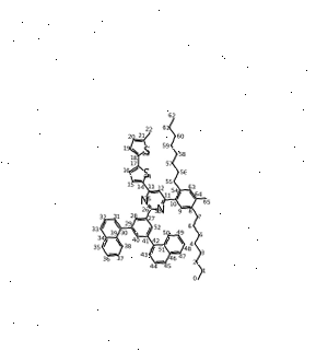 CCCCCCCCc1cc(-c2cc(-c3ccc(-c4ccc(C)s4)s3)nc(-c3cc(-c4cccc5ccccc45)cc(-c4cccc5ccccc45)c3)n2)c(CCCCCCCC)cc1C